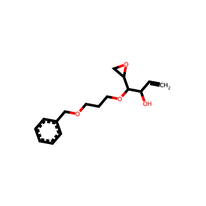 C=CC(O)C(OCCCOCc1ccccc1)C1CO1